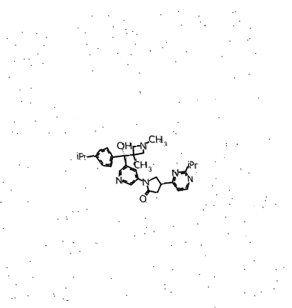 CC(C)c1ccc([C@](O)(c2cncc(N3CC(c4ccnc(C(C)C)n4)CC3=O)c2)C2(C)CN(C)C2)cc1